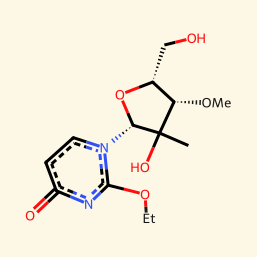 CCOc1nc(=O)ccn1[C@@H]1O[C@H](CO)[C@H](OC)C1(C)O